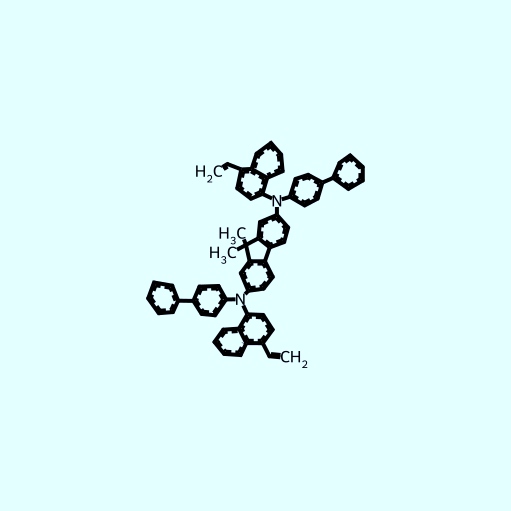 C=Cc1ccc(N(c2ccc(-c3ccccc3)cc2)c2ccc3c(c2)C(C)(C)c2cc(N(c4ccc(-c5ccccc5)cc4)c4ccc(C=C)c5ccccc45)ccc2-3)c2ccccc12